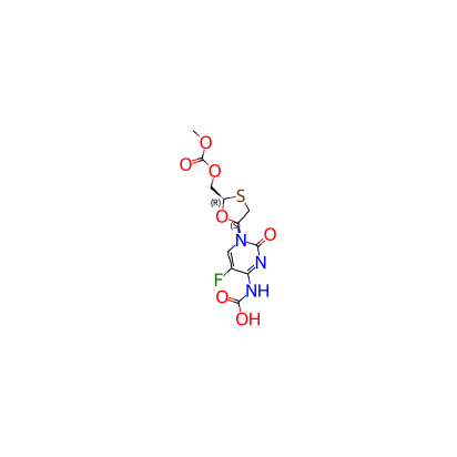 COC(=O)OC[C@@H]1O[C@H](n2cc(F)c(NC(=O)O)nc2=O)CS1